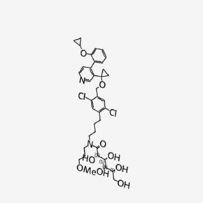 COCCCN(CCCCc1cc(Cl)c(COC2(c3cnccc3-c3ccccc3OC3CC3)CC2)cc1Cl)C(=O)[C@@H](O)[C@@H](O)[C@H](O)[C@@H](O)CO